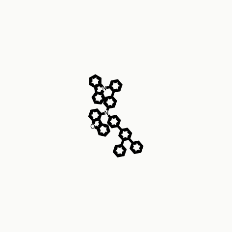 c1ccc(-c2ccc(-c3ccc(N(c4ccc(-c5ccccc5-n5c6ccccc6c6ccccc65)cc4)c4cccc5oc6ccccc6c45)cc3)cc2-c2ccccc2)cc1